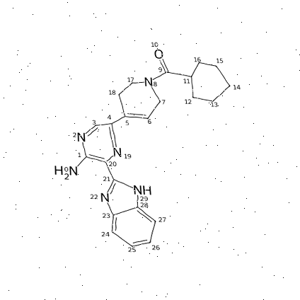 Nc1ncc(C2=CCN(C(=O)C3CCCCC3)CC2)nc1-c1nc2ccccc2[nH]1